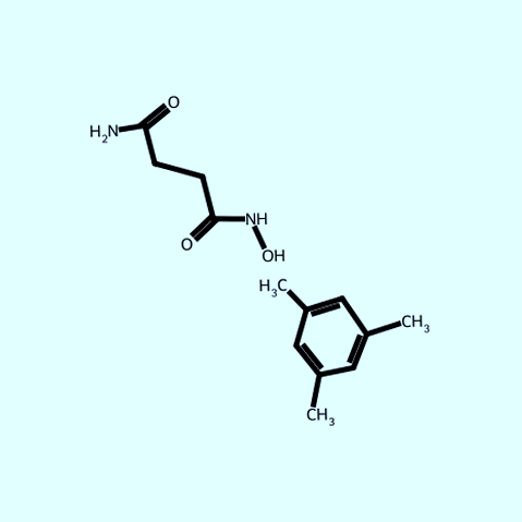 Cc1cc(C)cc(C)c1.NC(=O)CCC(=O)NO